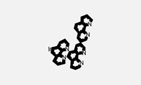 [Ir].c1cnc2c(c1)ccc1cccnc12.c1cnc2c(c1)ccc1cccnc12.c1cnc2c(c1)ccc1cccnc12